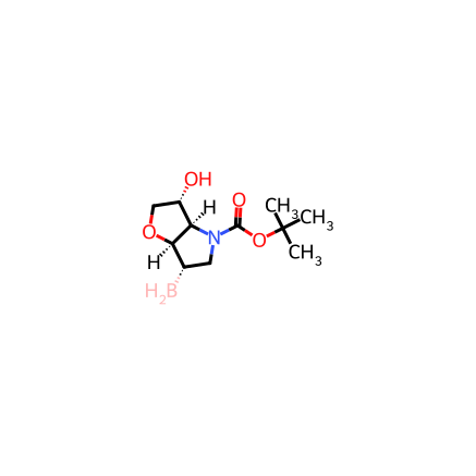 B[C@H]1CN(C(=O)OC(C)(C)C)[C@H]2[C@@H]1OC[C@@H]2O